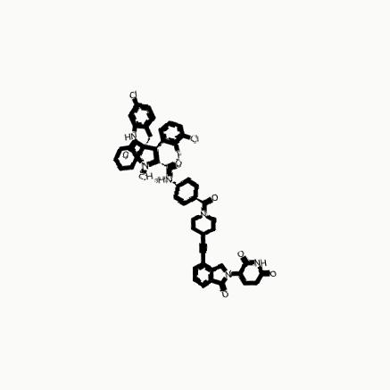 CN1[C@@H](C(=O)N[C@H]2CC[C@H](C(=O)N3CCC(C#Cc4cccc5c4CN(C4CCC(=O)NC4=O)C5=O)CC3)CC2)[C@H](c2cccc(Cl)c2F)[C@@]2(Cc3ccc(Cl)cc3NC2=O)C12CCCCC2